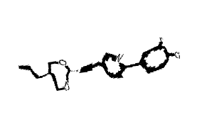 CCC[C@H]1CO[C@H](C#Cc2ccc(-c3ccc(Cl)c(F)c3)nc2)OC1